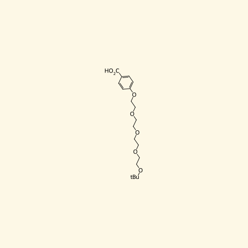 CC(C)(C)OCCOCCOCCOCCOc1ccc(C(=O)O)cc1